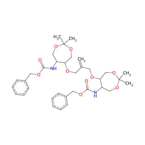 C=C(COC1COC(C)(C)OCC1NC(=O)OCc1ccccc1)COC1COC(C)(C)OCC1NC(=O)OCc1ccccc1